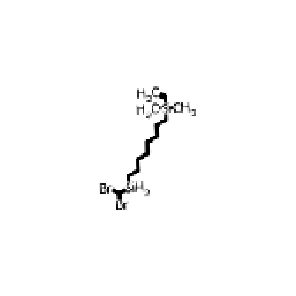 C=C[Si](C)(C)CCCCCCCC[SiH2]C(Br)Br